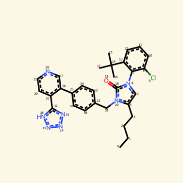 CCCCc1cn(-c2c(Cl)cccc2C(C)(C)C)c(=O)n1Cc1ccc(-c2cnccc2-c2nnn[nH]2)cc1